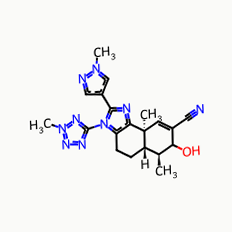 C[C@@H]1C(O)C(C#N)=C[C@]2(C)c3nc(-c4cnn(C)c4)n(-c4nnn(C)n4)c3CC[C@@H]12